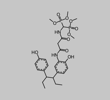 CCC(c1ccc(O)cc1)C(CC)c1ccc(O)c(NC(=O)CC(=O)NC(P(=O)(OC)OC)P(=O)(OC)OC)c1